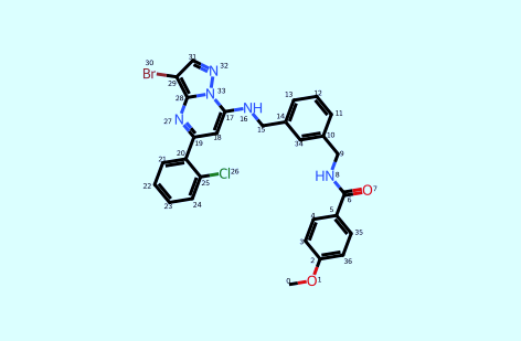 COc1ccc(C(=O)NCc2cccc(CNc3cc(-c4ccccc4Cl)nc4c(Br)cnn34)c2)cc1